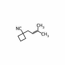 CC(C)=CCC1(C#N)CCC1